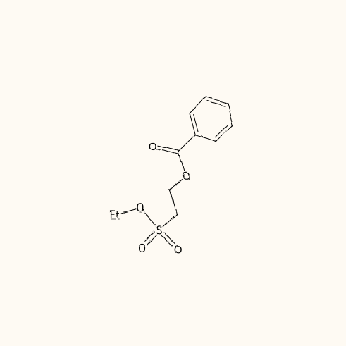 CCOS(=O)(=O)CCOC(=O)c1ccccc1